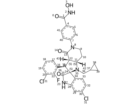 O=C(NO)c1ccc(N2CC[C@H]3[C@@H](C2=O)[C@H](c2cccc(Cl)c2F)[C@]2(C(=O)Nc4cc(Cl)ccc42)N3CC2CC2)cc1